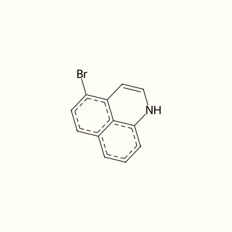 Brc1ccc2cccc3c2c1C=CN3